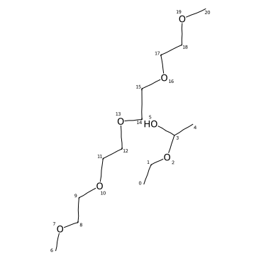 CCOC(C)O.COCCOCCOCCOCCOC